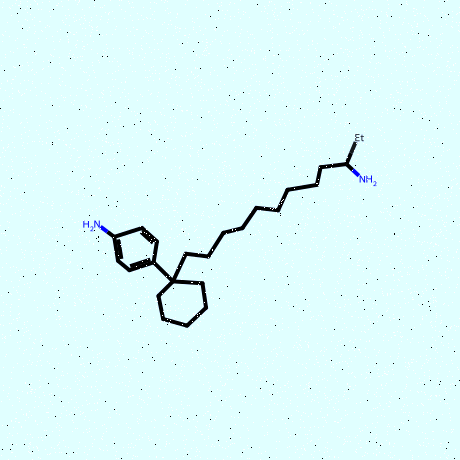 CCC(N)CCCCCCCCCC1(c2ccc(N)cc2)CCCCC1